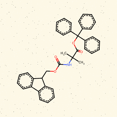 CC(C)(NC(=O)OCC1c2ccccc2-c2ccccc21)C(=O)OC(c1ccccc1)(c1ccccc1)c1ccccc1